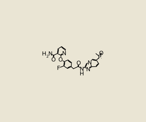 CP(C)(=O)c1ccc2nc(NC(=O)Cc3ccc(Oc4ncccc4C(N)=O)c(F)c3)cn2c1